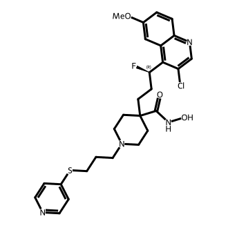 COc1ccc2ncc(Cl)c([C@H](F)CCC3(C(=O)NO)CCN(CCCSc4ccncc4)CC3)c2c1